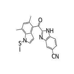 Cc1cc(C)c2c(ccn2SI)c1C(=O)c1nc2cc(C#N)ccc2[nH]1